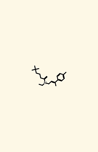 C=C(CCCC(C)(C)C)N(CC)C/C=C(\C)c1ccc(C)cc1